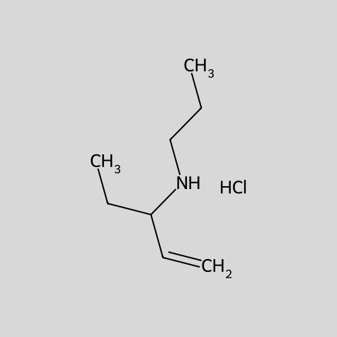 C=CC(CC)NCCC.Cl